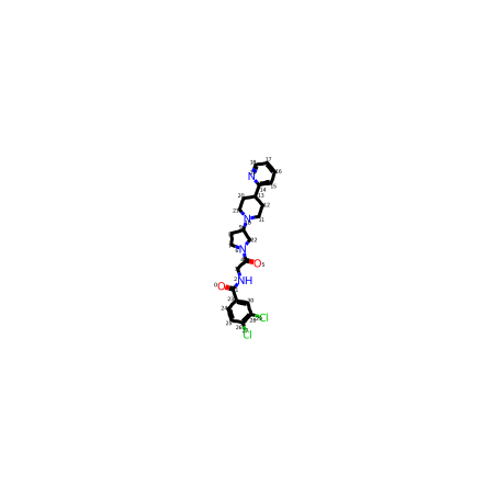 O=C(NCC(=O)N1CCC(N2CCC(c3ccccn3)CC2)C1)c1ccc(Cl)c(Cl)c1